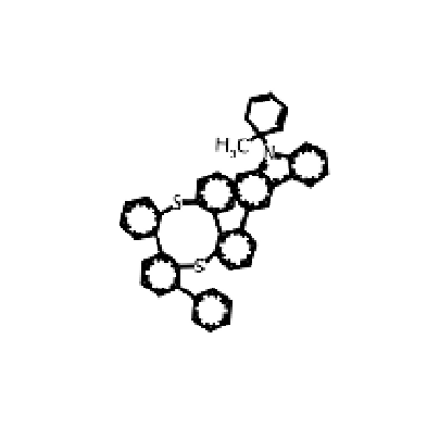 CC1(n2c3ccccc3c3cc(-c4cccc5c4-c4ccccc4Sc4ccccc4-c4cccc(-c6ccccc6)c4S5)ccc32)C=CC=CC1